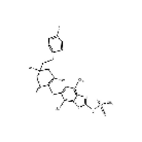 Cc1cc(SC2=C(O)CC(CCc3ccc(F)cc3)(C(C)C)OC2=O)c(C(C)(C)C)c2sc(NS(C)(=O)=O)nc12